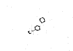 [c]1ccc(Oc2ccc(-c3ncc[nH]3)cc2)cc1